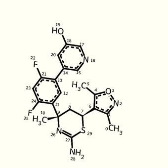 Cc1noc(C)c1[C@@H]1C[C@@](C)(c2cc(-c3cncc(O)c3)c(F)cc2F)N=C(N)S1